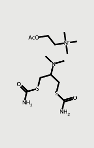 CC(=O)OCC[N+](C)(C)C.CN(C)C(CSC(N)=O)CSC(N)=O